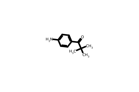 CC(C)(C)C(=O)c1ccc(N)cc1